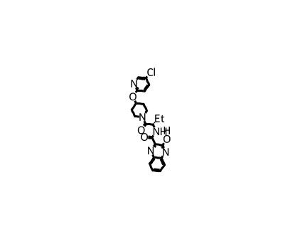 CC[C@H](NC(=O)c1nc2ccccc2nc1O)C(=O)N1CCC(Oc2ccc(Cl)cn2)CC1